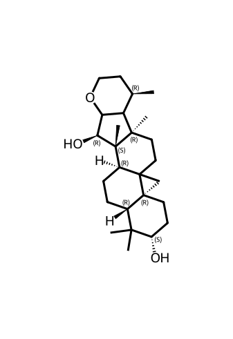 C[C@@H]1CCOC2C1[C@@]1(C)CCC34C[C@@]35CC[C@H](O)C(C)(C)[C@@H]5CC[C@H]4[C@]1(C)[C@H]2O